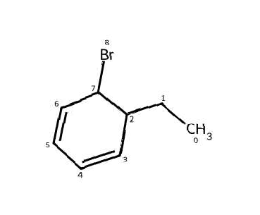 CCC1C=CC=CC1Br